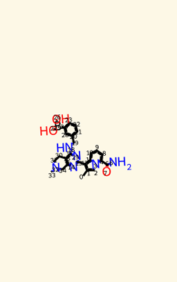 Cc1cn2c(C(N)=O)cccc2c1-c1nc2c(c(NCc3cccc(B(O)O)c3)n1)CCN(C)C2